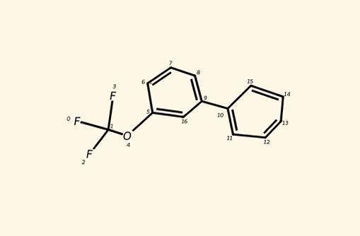 FC(F)(F)Oc1[c]ccc(-c2ccccc2)c1